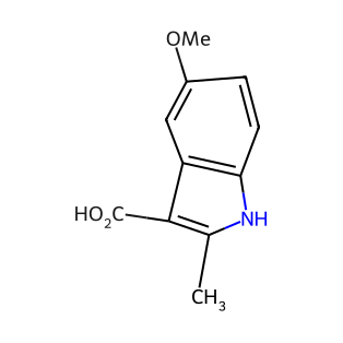 COc1ccc2[nH]c(C)c(C(=O)O)c2c1